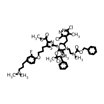 COC(=O)c1nc(N(CC(Cc2c(Cl)nnc(Cl)c2C)N(CCN(C)C(=O)OCc2ccccc2)C(=O)OCc2ccccc2)C(=O)OC(C)(C)C)sc1CCCOc1ccc(CCCN(C)C)cc1F